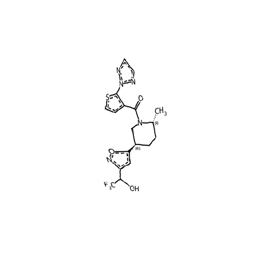 C[C@@H]1CC[C@@H](c2cc(C(O)C(F)(F)F)no2)CN1C(=O)c1ccsc1-n1nccn1